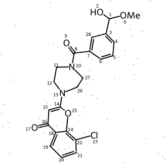 COC(O)c1cccc(C(=O)N2CCN(c3cc(=O)c4cccc(Cl)c4o3)CC2)c1